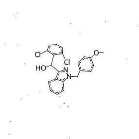 COc1ccc(Cn2nc(C(O)c3c(Cl)cccc3Cl)c3ccccc32)cc1